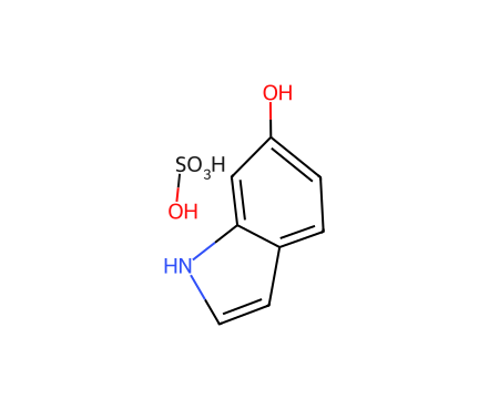 O=S(=O)(O)O.Oc1ccc2cc[nH]c2c1